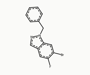 Fc1cc2cnn(Cc3ccccc3)c2cc1Br